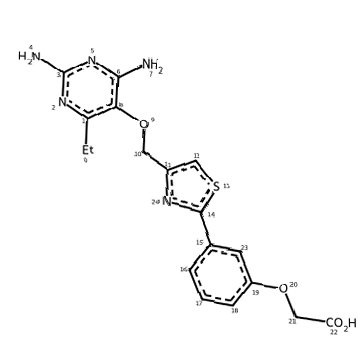 CCc1nc(N)nc(N)c1OCc1csc(-c2cccc(OCC(=O)O)c2)n1